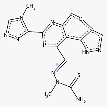 CN(/N=C/c1cc(-c2nncn2C)nc2ccc3cn[nH]c3c12)C(N)=S